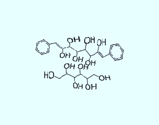 OC(=Cc1ccccc1)C(O)C(O)C(O)C(O)C(O)=Cc1ccccc1.OCC(O)C(O)C(O)C(O)CO